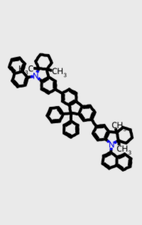 CC12CCCCC1(C)N(c1cccc3ccccc13)c1ccc(-c3ccc4c(c3)C(c3ccccc3)(c3ccccc3)c3cc(-c5ccc6c(c5)C5(C)CCCCC5(C)N6c5cccc6ccccc56)ccc3-4)cc12